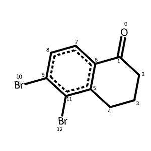 O=C1CCCc2c1ccc(Br)c2Br